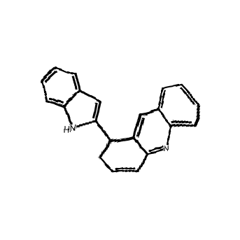 C1=Cc2nc3ccccc3cc2C(c2cc3ccccc3[nH]2)C1